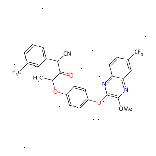 COc1nc2cc(C(F)(F)F)ccc2nc1Oc1ccc(OC(C)C(=O)C(C#N)c2cccc(C(F)(F)F)c2)cc1